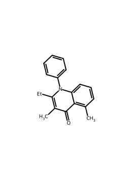 CCc1c(C)c(=O)c2c(C)cccc2n1-c1ccccc1